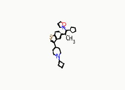 CC(=C(C1CCCC1)N1C=CCO1)c1ccc2scc(C3CCN(C4CCC4)CC3)c2c1